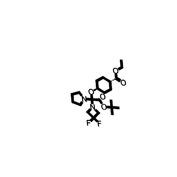 CCOC(=O)[C@H]1CC[C@H](OC(C(=O)OC(C)(C)C)(N2CCCC2)N2CC(F)(F)C2)CC1